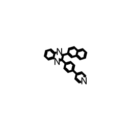 c1ccc2cc(-c3nc4ccccc4nc3-c3ccc(-c4ccncc4)cc3)ccc2c1